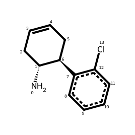 N[C@@H]1CC=CC[C@H]1c1ccccc1Cl